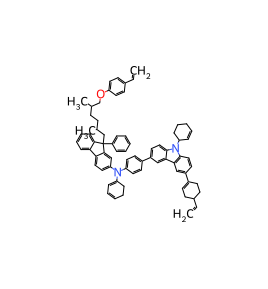 C=Cc1ccc(OCC(C)CCC(C)CC2(c3ccccc3)c3ccccc3-c3ccc(N(C4=CC=CCC4)c4ccc(-c5ccc6c(c5)c5cc(C7=CCC(C=C)CC7)ccc5n6C5C=CCCC5)cc4)cc32)cc1